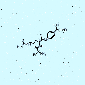 CCOC(=O)C(O)c1ccc(NC(=O)[C@H](CCCNC(N)=O)NC(=O)[C@@H](N)C(C)C)cc1